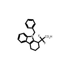 O=C(O)C(F)(F)C1CCCc2c1n(Cc1ccccc1)c1ccccc21